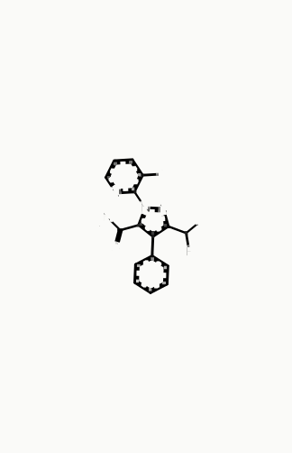 NC(=O)c1c(-c2ccccc2)c(C(F)F)nn1-c1ncccc1Cl